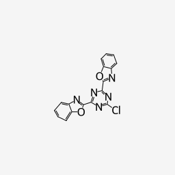 Clc1nc(-c2nc3ccccc3o2)nc(-c2nc3ccccc3o2)n1